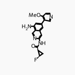 COc1ccncc1-c1cc(N)c2cnc(NC(=O)[C@H]3C[C@H]3F)cc2c1